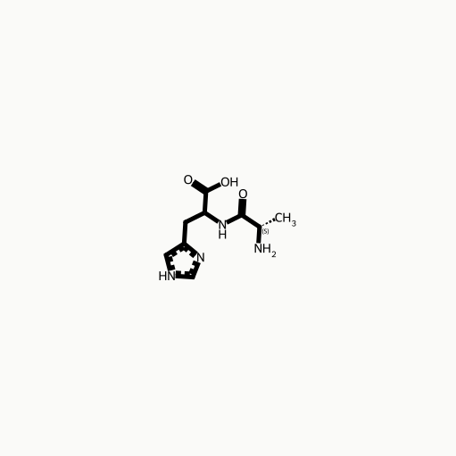 C[C@H](N)C(=O)NC(Cc1c[nH]cn1)C(=O)O